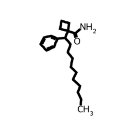 CCCCCCCCCCC(c1ccccc1)C1(C(N)=O)CCC1